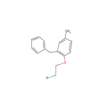 Cc1ccc(OCCBr)c(Cc2ccccc2)c1